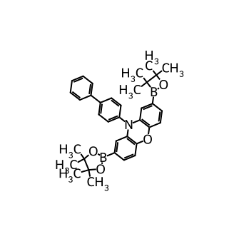 CC1(C)OB(c2ccc3c(c2)N(c2ccc(-c4ccccc4)cc2)c2cc(B4OC(C)(C)C4(C)C)ccc2O3)OC1(C)C